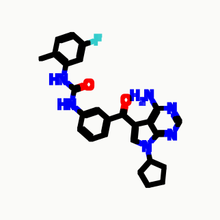 Cc1ccc(F)cc1NC(=O)Nc1cccc(C(=O)c2cn(C3CCCC3)c3ncnc(N)c23)c1